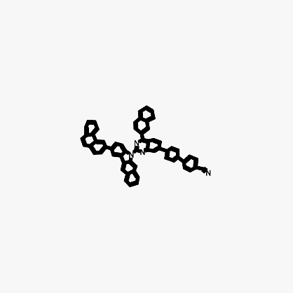 N#Cc1ccc(-c2ccc(-c3ccc4c(-c5ccc6ccccc6c5)nc(-n5c6ccc(-c7ccc8ccc9ccccc9c8c7)cc6c6cc7ccccc7cc65)nc4c3)cc2)cc1